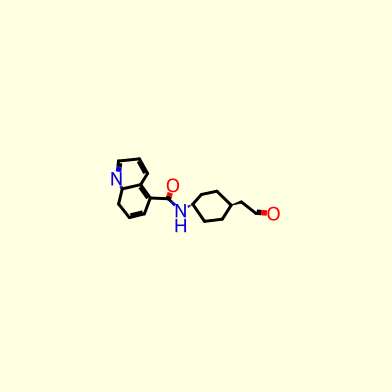 O=CC[C@H]1CC[C@H](NC(=O)C2=C3C=CC=NC3CC=C2)CC1